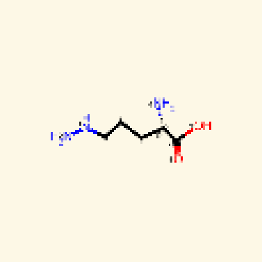 NNCCC[C@H](N)C(=O)O